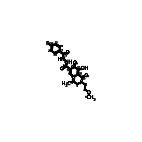 COCCN1CN(C)n2cc(C(=O)NNC(=O)c3ccc(F)cc3)c(=O)c(O)c2C1=O